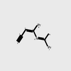 C#C/C=C(\N=C(/C)C(C)C)C(C)C